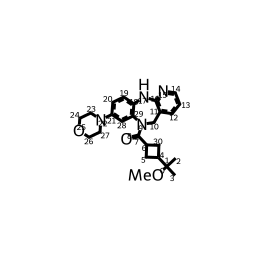 COC(C)(C)C1CC(C(=O)N2Cc3cccnc3Nc3ccc(N4CCOCC4)cc32)C1